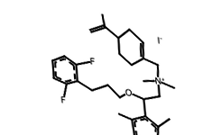 C=C(C)C1CC=C(C[N+](C)(C)CC(OCCCc2c(F)cccc2F)c2c(C)cccc2C)CC1.[I-]